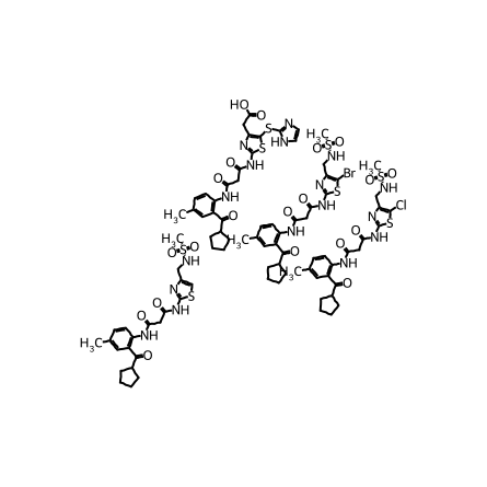 Cc1ccc(NC(=O)CC(=O)Nc2nc(CC(=O)O)c(Sc3ncc[nH]3)s2)c(C(=O)C2CCCC2)c1.Cc1ccc(NC(=O)CC(=O)Nc2nc(CNS(C)(=O)=O)c(Br)s2)c(C(=O)C2CCCC2)c1.Cc1ccc(NC(=O)CC(=O)Nc2nc(CNS(C)(=O)=O)c(Cl)s2)c(C(=O)C2CCCC2)c1.Cc1ccc(NC(=O)CC(=O)Nc2nc(CNS(C)(=O)=O)cs2)c(C(=O)C2CCCC2)c1